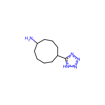 NC1CCCCC(c2nnn[nH]2)CCC1